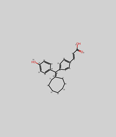 O=C(O)/C=C/c1ccc(C(=C2CCCCCCC2)c2ccc(O)cc2)cc1